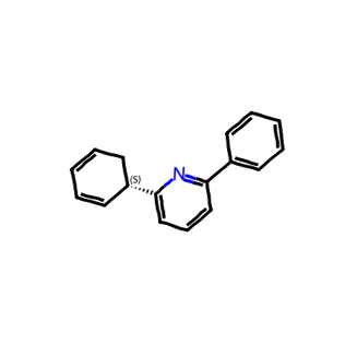 C1=CC[C@H](c2cccc(-c3ccccc3)n2)C=C1